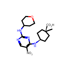 C[C@]1(C(=O)O)CC[C@@H](Nc2nc(NC3CCOCC3)ncc2[N+](=O)[O-])CC1